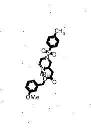 CCCCN1CCN(S(=O)(=O)c2ccc(C)cc2)CC1CC(=O)OCc1cccc(OC)c1